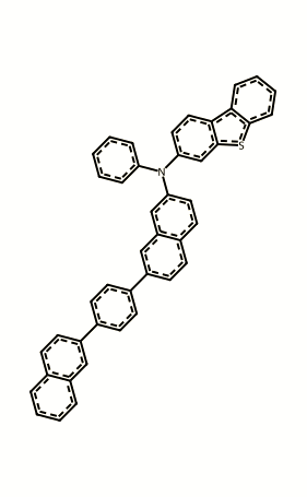 c1ccc(N(c2ccc3ccc(-c4ccc(-c5ccc6ccccc6c5)cc4)cc3c2)c2ccc3c(c2)sc2ccccc23)cc1